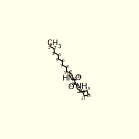 CCCCCCCCCCSNC(=O)C(=O)NSC1CCC1